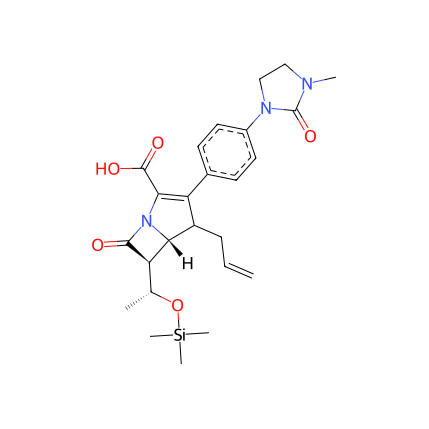 C=CCC1C(c2ccc(N3CCN(C)C3=O)cc2)=C(C(=O)O)N2C(=O)[C@H]([C@@H](C)O[Si](C)(C)C)[C@@H]12